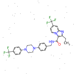 CCc1nc2cc(C(F)(F)F)ccn2c1C(=O)NCc1ccc(N2CCN(c3ccc(C(F)(F)F)cc3)CC2)cc1